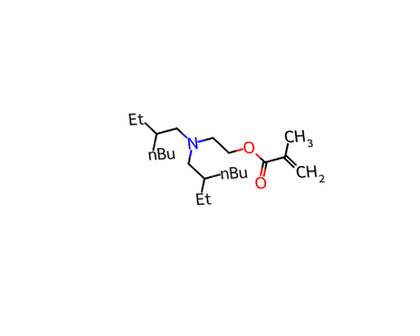 C=C(C)C(=O)OCCN(CC(CC)CCCC)CC(CC)CCCC